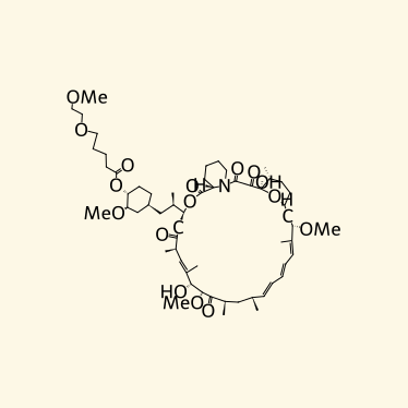 COCCOCCCCC(=O)O[C@@H]1CC[C@@H](C[C@@H](C)[C@@H]2CC(=O)[C@H](C)/C=C(\C)[C@@H](O)[C@@H](OC)C(=O)[C@H](C)C[C@H](C)/C=C/C=C/C=C(\C)[C@@H](OC)C[C@@H]3CC[C@@H](C)[C@@](O)(O3)C(=O)C(=O)N3CCCC[C@H]3C(=O)O2)C[C@H]1OC